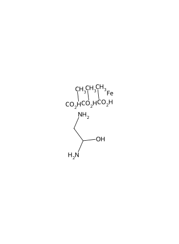 CC(=O)O.CC(=O)O.CC(=O)O.NCC(N)O.[Fe]